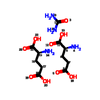 NC(N)=O.N[C@@H](CCC(=O)O)C(=O)O.N[C@@H](CCC(=O)O)C(=O)O